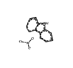 [Cl][Al]([Cl])[Cl].c1ccc2c(c1)[nH]c1ccccc12